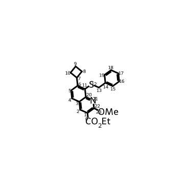 CCOC(=O)c1cc2ccc(C3CCC3)c(SCc3ccccc3)c2nc1OC